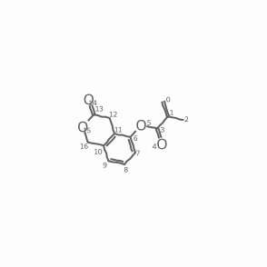 C=C(C)C(=O)Oc1cccc2c1CC(=O)OC2